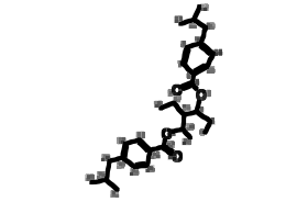 CCC(OC(=O)c1ccc(CC(C)C)cc1)C(CC)C(C)OC(=O)c1ccc(CC(C)C)cc1